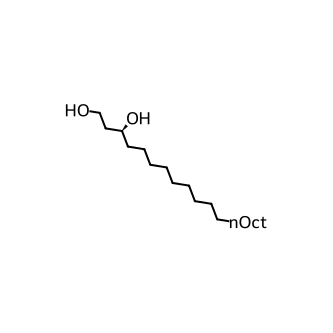 CCCCCCCCCCCCCCCCC[C@H](O)CCO